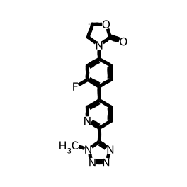 Cn1nnnc1-c1ccc(-c2ccc(N3C[CH]OC3=O)cc2F)cn1